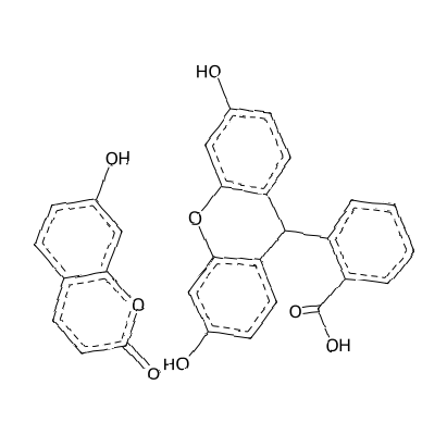 O=C(O)c1ccccc1C1c2ccc(O)cc2Oc2cc(O)ccc21.O=c1ccc2ccc(O)cc2o1